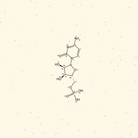 Nc1ccn(C2O[C@H](COP(=O)(O)O)[C@@H](O)[C@H]2O)c(=O)n1